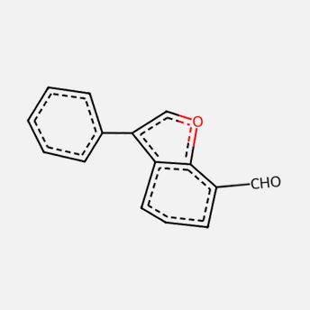 O=Cc1cccc2c(-c3ccccc3)coc12